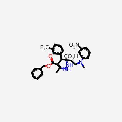 CC1=C(C(=O)OCc2ccccc2)C(c2cccc(C(F)(F)F)c2)C(CCN(C)c2cccc([N+](=O)[O-])c2)(C(=O)O)NN1